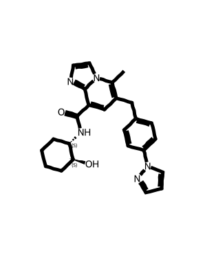 Cc1c(Cc2ccc(-n3cccn3)cc2)cc(C(=O)N[C@H]2CCCC[C@@H]2O)c2nccn12